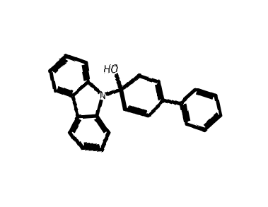 OC1(n2c3ccccc3c3ccccc32)C=CC(c2ccccc2)=CC1